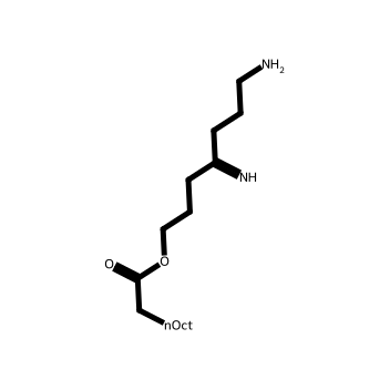 CCCCCCCCCC(=O)OCCCC(=N)CCCN